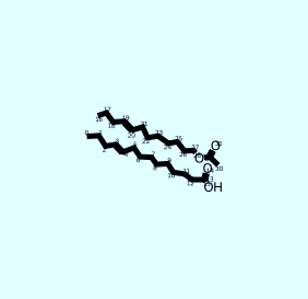 CCC/C=C/CCCCCCCCC(=O)O.CCCC=CCCCCCCCOC(C)=O